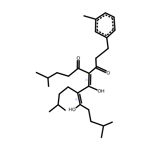 Cc1cccc(CCC(=O)/C(C(=O)CCC(C)C)=C(O)/C(CCC(C)C)=C(/O)CCC(C)C)c1